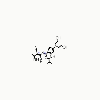 CC(=N)/C(C#N)=C(S)/N=N/c1ccc(N(CCO)CCO)cc1NC(=O)C(C)C